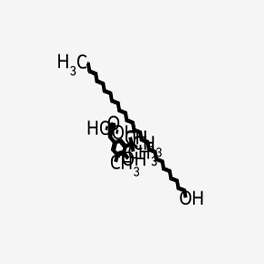 CCCCCCCCCCCCCCCCCCCCCCCCCCCCO.Cc1cc(CP(=O)(O)O)cc(C(C)(C)C)c1O